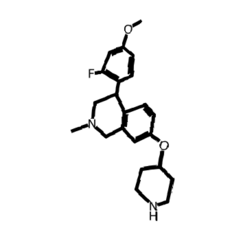 COc1ccc(C2CN(C)Cc3cc(OC4CCNCC4)ccc32)c(F)c1